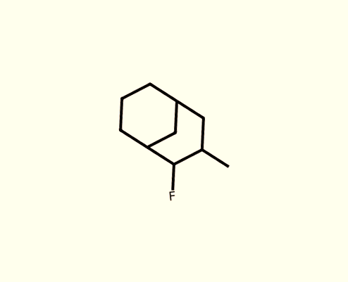 CC1CC2CCCC(C2)C1F